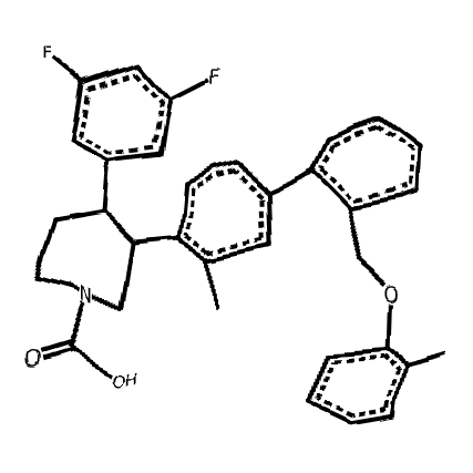 Cc1ccccc1OCc1ccccc1-c1ccc(C2CN(C(=O)O)CCC2c2cc(F)cc(F)c2)c(C)c1